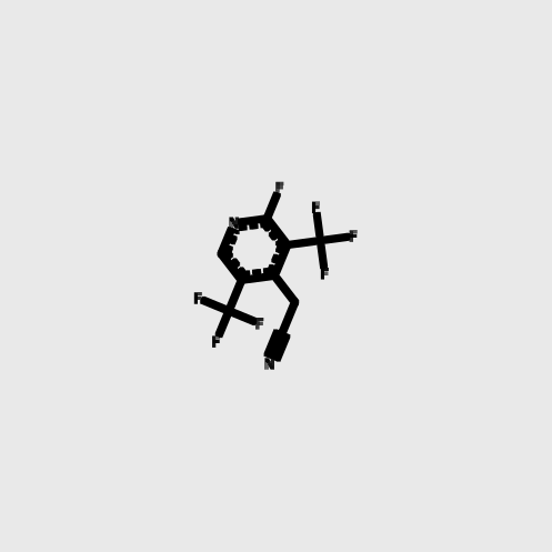 N#CCc1c(C(F)(F)F)cnc(F)c1C(F)(F)F